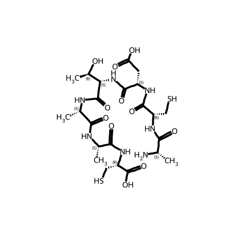 C[C@H](N)C(=O)N[C@@H](CS)C(=O)N[C@@H](CC(=O)O)C(=O)N[C@H](C(=O)N[C@@H](C)C(=O)N[C@@H](C)C(=O)N[C@@H](CS)C(=O)O)[C@@H](C)O